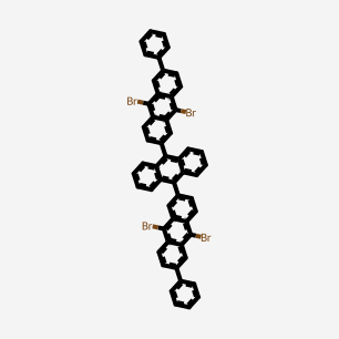 Brc1c2ccc(-c3c4ccccc4c(-c4ccc5c(Br)c6cc(-c7ccccc7)ccc6c(Br)c5c4)c4ccccc34)cc2c(Br)c2ccc(-c3ccccc3)cc12